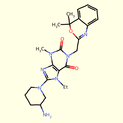 CCn1c(N2CCCC(N)C2)nc2c1c(=O)n(CC1=Nc3ccccc3C(C)(C)O1)c(=O)n2C